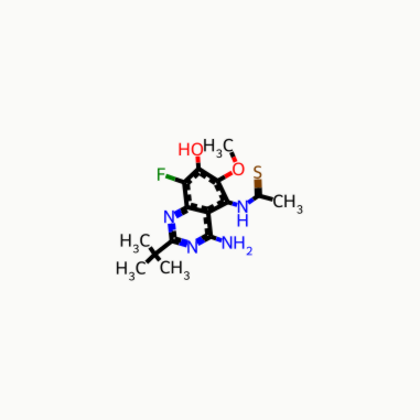 COc1c(O)c(F)c2nc(C(C)(C)C)nc(N)c2c1NC(C)=S